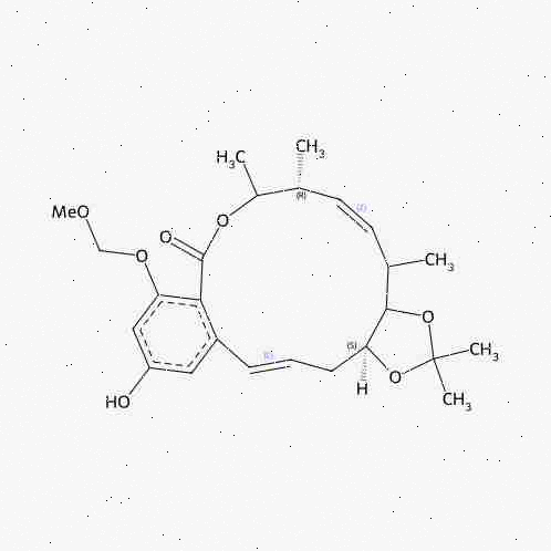 COCOc1cc(O)cc2c1C(=O)OC(C)[C@H](C)/C=C\C(C)C1OC(C)(C)O[C@H]1C/C=C/2